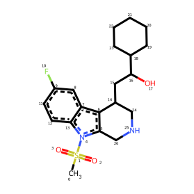 CS(=O)(=O)n1c2c(c3cc(F)ccc31)C(CC(O)C1CCCCC1)CNC2